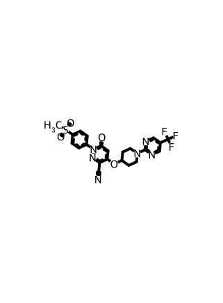 CS(=O)(=O)c1ccc(-n2nc(C#N)c(OC3CCN(c4ncc(C(F)(F)F)cn4)CC3)cc2=O)cc1